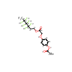 CCC(C)C(=O)Oc1ccc(OCC(=O)OCCC(F)(F)C(F)(F)C(F)(F)C(F)(F)F)cc1